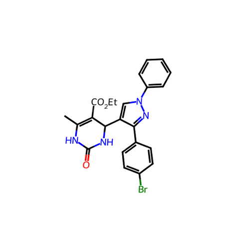 CCOC(=O)C1=C(C)NC(=O)NC1c1cn(-c2ccccc2)nc1-c1ccc(Br)cc1